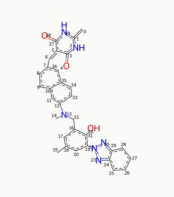 C=c1[nH]c(=O)c(=Cc2ccc3cc(N(C)Cc4cc(C)cc(-n5nc6ccccc6n5)c4O)ccc3c2)c(=O)[nH]1